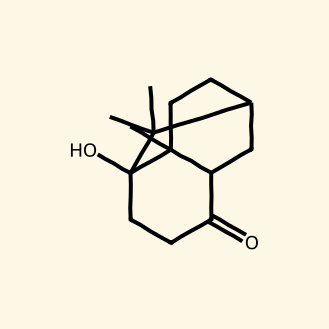 CC1(C)C2CCC3(C)C(C2)C(=O)CCC13O